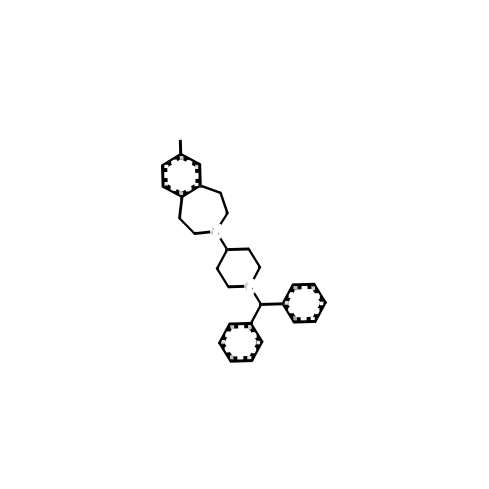 Clc1ccc2c(c1)CCN(C1CCN(C(c3ccccc3)c3ccccc3)CC1)CC2